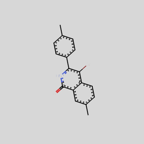 Cc1ccc(-c2[nH]c(=O)c3cc(C)ccc3c2Br)cc1